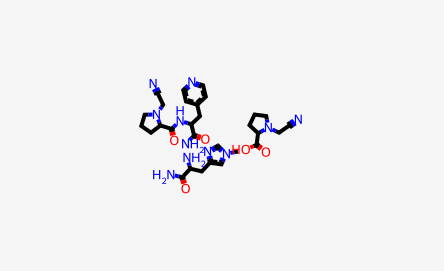 Cn1cnc(CC(N)C(N)=O)c1.N#CCN1CCCC1C(=O)NC(Cc1ccncc1)C(N)=O.N#CCN1CCCC1C(=O)O